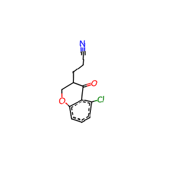 N#CCCC1COc2cccc(Cl)c2C1=O